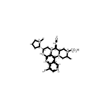 CC1CN2c3c4c(nc5c(F)cncc35)OC([C@@H]3CCCN3C)CN4C(=C=O)C2CN1C(=O)O